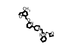 Cc1ccc(COc2cccc(C3CCN(Cc4nc5ccccc5n4C[C@@H]4CCO4)CC3)n2)c2occc12